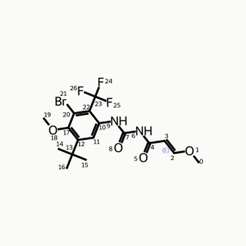 CO/C=C/C(=O)NC(=O)Nc1cc(C(C)(C)C)c(OC)c(Br)c1C(F)(F)F